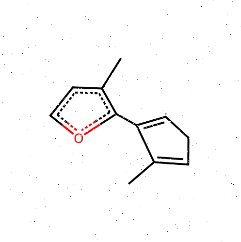 CC1=CC[C]=C1c1occc1C